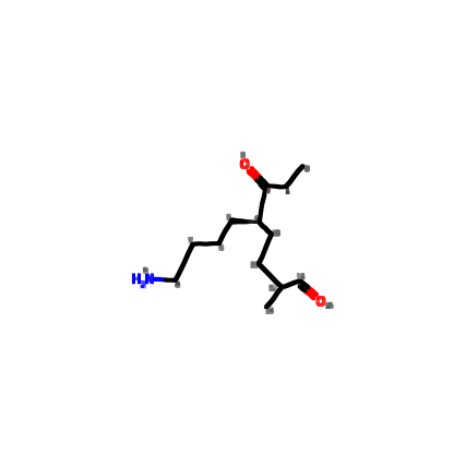 CCC(=O)[C@H](CCCCN)CCC(C)C=O